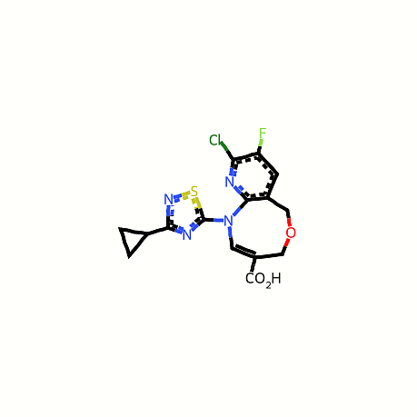 O=C(O)/C1=C/N(c2nc(C3CC3)ns2)c2nc(Cl)c(F)cc2COC1